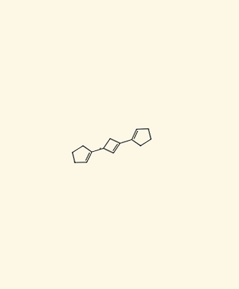 C1=C([C]2C=C(C3=CCCC3)C2)CCC1